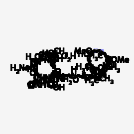 COc1cc2cc(c1Cl)N(C)C(=O)C[C@H](OC(=O)[C@H](C)N(C)C(=O)CCSSCCC(=O)NCCCC[C@@H](N)C(=O)N[C@H]1CSSC[C@@H](C(=O)N[C@H](C(=O)O)[C@@H](C)O)NC(=O)[C@H]([C@@H](C)O)NC(=O)[C@H](CCCCN)NC(=O)[C@@H](Cc3c[nH]c4ccccc34)NC(=O)[C@H](Cc3ccc(O)cc3)NC1=O)[C@]1(C)O[C@H]1[C@H](C)CCC(O)[C@H](OC)/C=C/C=C(\C)C2